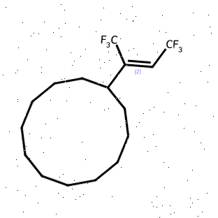 FC(F)(F)/C=C(/C1CCCCCCCCCCC1)C(F)(F)F